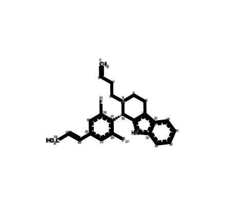 C=CCCN1CCc2c([nH]c3ccccc23)[C@@H]1c1c(F)cc(/C=C/C(=O)O)cc1F